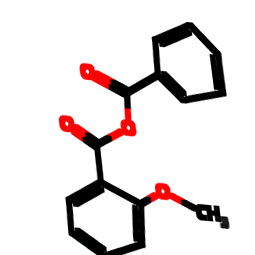 COc1ccccc1C(=O)OC(=O)c1ccccc1